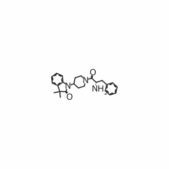 CC1(C)C(=O)N(C2CCN(C(=O)[C@@H](N)Cc3ccccc3)CC2)c2ccccc21